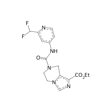 CCOC(=O)c1ncn2c1CN(C(=O)Nc1ccnc(C(F)F)c1)CC2